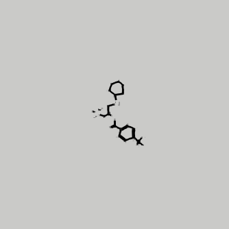 O=C(OC(CNC1CCCCC1)CS(=O)(=O)O)c1ccc(C(F)(F)F)cc1